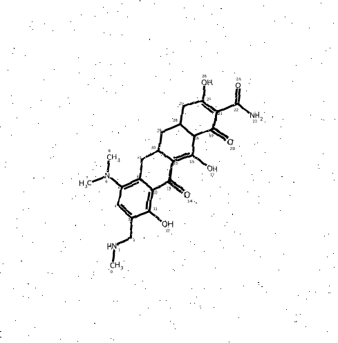 CNCc1cc(N(C)C)c2c(c1O)C(=O)C1=C(O)C3C(=O)C(C(N)=O)=C(O)CC3CC1C2